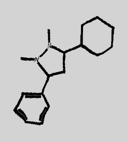 CN1C(c2ccccc2)CC(C2CCCCC2)N1C